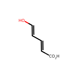 O=C(O)/C=C/C=C/O